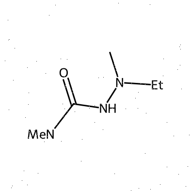 CCN(C)NC(=O)NC